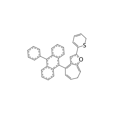 C1=CCSC(c2cc3c(o2)=CCC=CC=3c2c3ccccc3c(-c3ccccc3)c3ccccc23)=C1